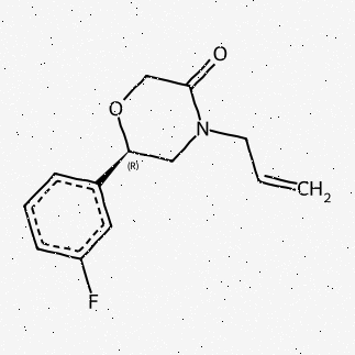 C=CCN1C[C@@H](c2cccc(F)c2)OCC1=O